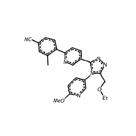 CCOCc1nnc(-c2ccc(-c3ccc(C#N)cc3C)nc2)n1-c1ccc(OC)nc1